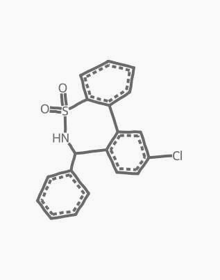 O=S1(=O)NC(c2ccccc2)c2ccc(Cl)cc2-c2ccccc21